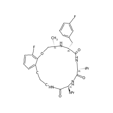 CCC[C@@H]1NC(=O)[C@@H](C(C)C)NC(=O)[C@@H](Cc2cccc(F)c2)N[C@@H](C)COc2c(F)cccc2CCCNC1=O